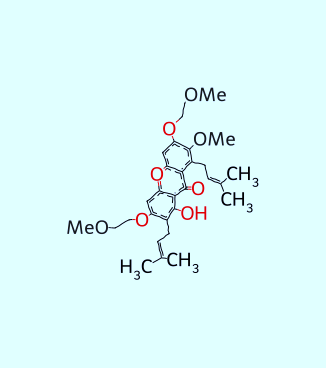 COCCOc1cc2oc3cc(OCCOC)c(OC)c(CC=C(C)C)c3c(=O)c2c(O)c1CC=C(C)C